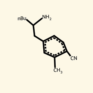 CCCCC(N)Cc1ccc(C#N)c(C)c1